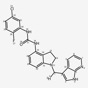 [2H]C(c1c[nH]c2ncccc12)N1CCc2c(NC(=O)Nc3cc(Cl)ccc3F)cccc21